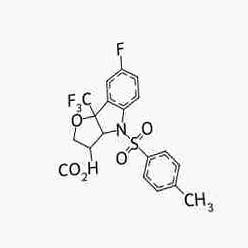 Cc1ccc(S(=O)(=O)N2c3ccc(F)cc3C3(C(F)(F)F)OCC(C(=O)O)C23)cc1